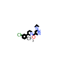 O=C(c1cnnc(N2CCC2)c1)N1CCCC(c2cc(Cl)ccc2C(F)(F)F)C1